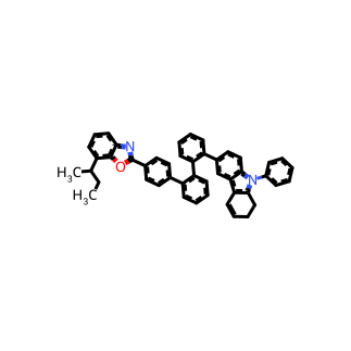 CCC(C)c1cccc2nc(-c3ccc(-c4ccccc4-c4ccccc4-c4ccc5c(c4)c4c(n5-c5ccccc5)CCC=C4)cc3)oc12